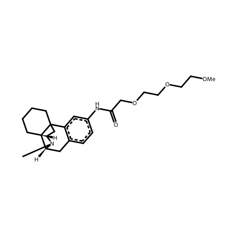 COCCOCCOCC(=O)Nc1ccc2c(c1)C13CCCC[C@H]1[C@@H](C2)N(C)CC3